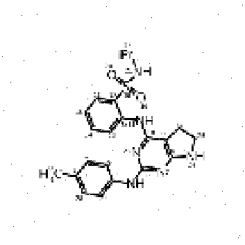 Cc1ccc(Nc2nc3c(c(Nc4ccccc4S(=O)(=O)NC(C)C)n2)CCN3)cc1